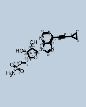 NS(=O)(=O)OC[C@H]1O[C@@H](n2cnc3c(C#CC4CC4)ncnc32)[C@H](O)[C@@H]1O